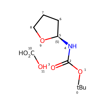 CC(C)(C)OC(=O)N[C@@H]1CCCO1.O=C(O)O